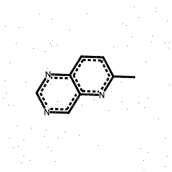 Cc1ccc2ncncc2n1